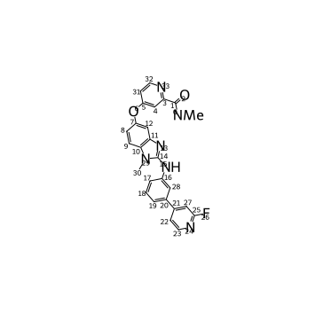 CNC(=O)c1cc(Oc2ccc3c(c2)nc(Nc2cccc(-c4ccnc(F)c4)c2)n3C)ccn1